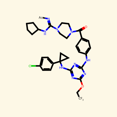 CC(=O)/N=C(\NC1CCCC1)N1CCN(C(=O)c2ccc(Nc3nc(NC4(c5ccc(Cl)cc5)CC4)nc(OCC(F)(F)F)n3)cc2)CC1